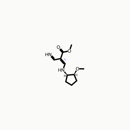 COC(=O)/C(C=N)=C/N[C@@H]1CCC[C@@H]1OC